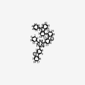 c1ccc(-c2nc(-c3ccc4c(c3)oc3ccccc34)nc(-c3ccc4oc5cccc(-c6cccc7c6c6ccccc6n7-c6ccccc6)c5c4c3)n2)cc1